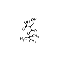 CC(C)(C)OC(=O)C(CO)C(=O)O